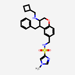 Cn1cnc(S(=O)(=O)NCc2ccc3c(c2)C(Cc2ccccc2)C(NCC2CCC2)CO3)c1